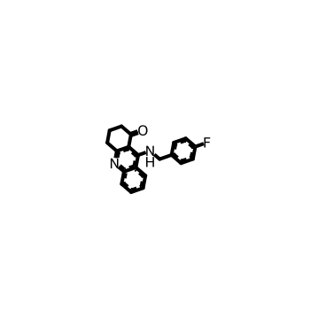 O=C1CCCc2nc3ccccc3c(NCc3ccc(F)cc3)c21